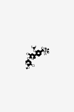 COc1ncc(Oc2ncc(-c3ccc(C(=O)NS(C)(=O)=O)cc3OC(F)F)cc2Cl)cc1Cl